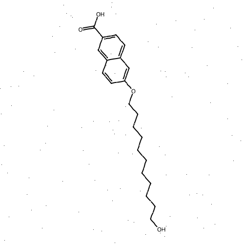 O=C(O)c1ccc2cc(OCCCCCCCCCCCO)ccc2c1